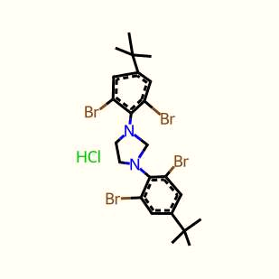 CC(C)(C)c1cc(Br)c(N2CCN(c3c(Br)cc(C(C)(C)C)cc3Br)C2)c(Br)c1.Cl